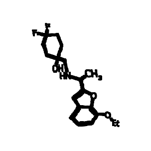 CCOc1cccc2cc(C(C)NCC3(O)CCC(F)(F)CC3)oc12